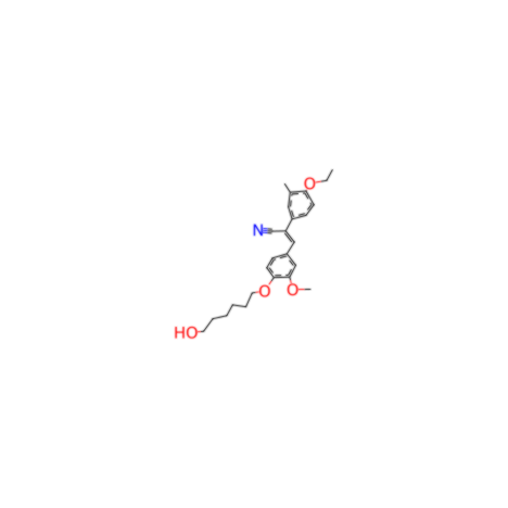 CCOc1ccc(/C(C#N)=C/c2ccc(OCCCCCCO)c(OC)c2)cc1C